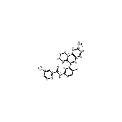 Cc1ccc(NC(=O)c2cc(C(F)(F)F)ccn2)cc1C1=Cc2cnc(N)nc2N2CCCN=C12